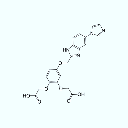 O=C(O)COc1ccc(OCc2nc3cc(-n4ccnc4)ccc3[nH]2)cc1OCC(=O)O